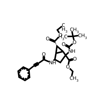 CCOC(=O)[C@H]1C2C(NC(=O)C#Cc3ccccc3)CC(NC(=O)OC(C)(C)C)(C(=O)OCC)C21